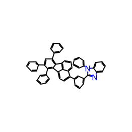 c1ccc(-c2cc(-c3ccccc3)c3c(c2-c2ccccc2)-c2ccc(-c4cccc(-c5nc6ccccc6n5-c5ccccc5)c4)c4cccc-3c24)cc1